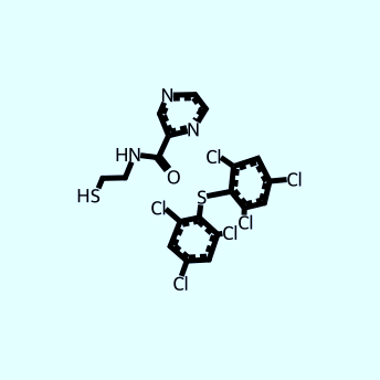 Clc1cc(Cl)c(Sc2c(Cl)cc(Cl)cc2Cl)c(Cl)c1.O=C(NCCS)c1cnccn1